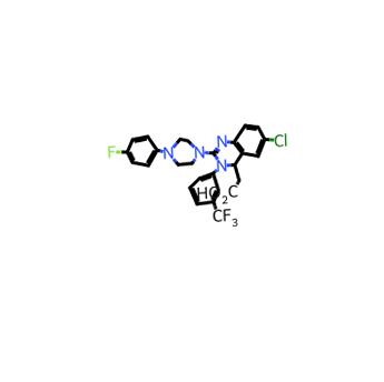 O=C(O)CC1c2cc(Cl)ccc2N=C(N2CCN(c3ccc(F)cc3)CC2)N1c1cccc(C(F)(F)F)c1